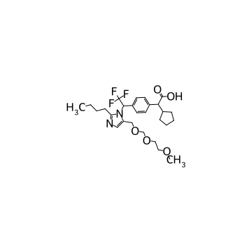 CCCCc1ncc(COCOCCOC)n1C(c1ccc(C(C(=O)O)C2CCCC2)cc1)C(F)(F)F